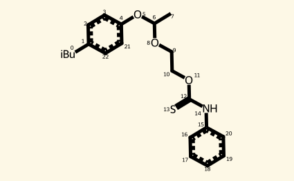 CCC(C)c1ccc(OC(C)OCCOC(=S)Nc2ccccc2)cc1